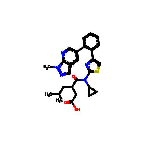 CC(C)CC(CC(=O)O)C(=O)N(c1nc(-c2ccccc2-c2cnc3c(cnn3C)c2)cs1)C1CC1